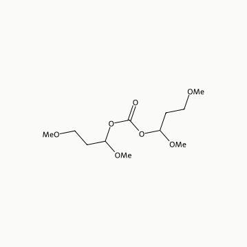 COCCC(OC)OC(=O)OC(CCOC)OC